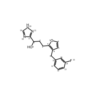 OC(CCc1occc1Cc1cccc(F)c1)c1nc[nH]n1